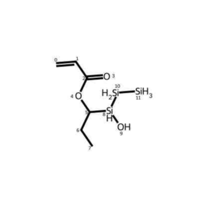 C=CC(=O)OC(CC)[SiH](O)[SiH2][SiH3]